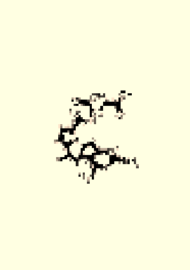 CC(CC1CCc2nc(N)nc(N)c21)c1ccc(C(=O)N[C@@H](CCC(=O)O)C(=O)O)s1